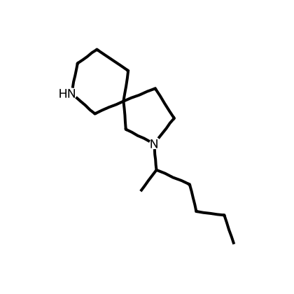 CCCCC(C)N1CCC2(CCCNC2)C1